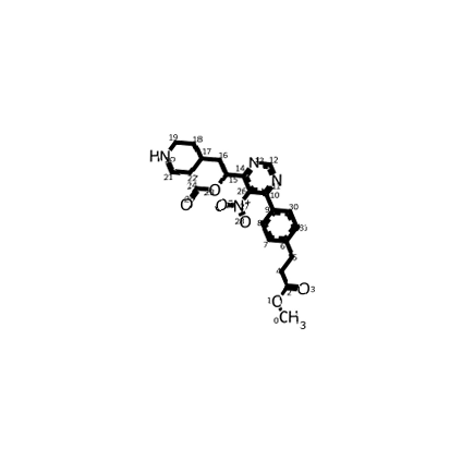 COC(=O)CCc1ccc(-c2ncnc(C(CC3CCNCC3)OC=O)c2[N+](=O)[O-])cc1